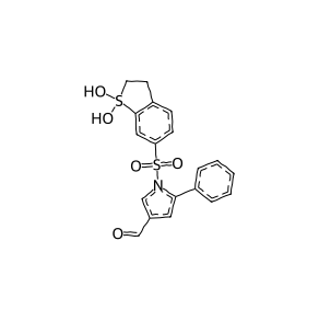 O=Cc1cc(-c2ccccc2)n(S(=O)(=O)c2ccc3c(c2)S(O)(O)CC3)c1